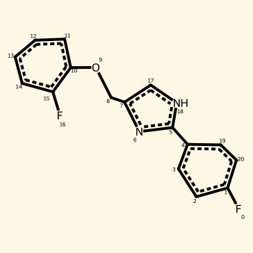 Fc1ccc(-c2nc(COc3ccccc3F)c[nH]2)cc1